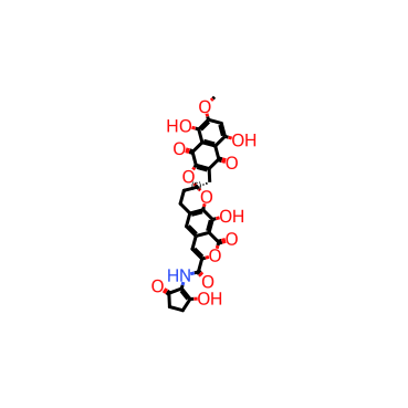 COc1cc(O)c2c(c1O)C(=O)C1=C(C[C@]3(CCc4cc5cc(C(=O)NC6=C(O)CCC6=O)oc(=O)c5c(O)c4O3)O1)C2=O